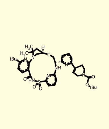 CC(C)(C)OC(=O)N1CC=C(c2cccc([C@H]3CC[C@@H]4CN(c5nc(C(C)(C)C)ccc5C(=O)NS(=O)(=O)c5cccc(n5)N3)C(C)(C)C4)n2)CC1